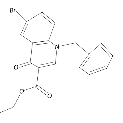 CCOC(=O)c1cn(Cc2ccccc2)c2ccc(Br)cc2c1=O